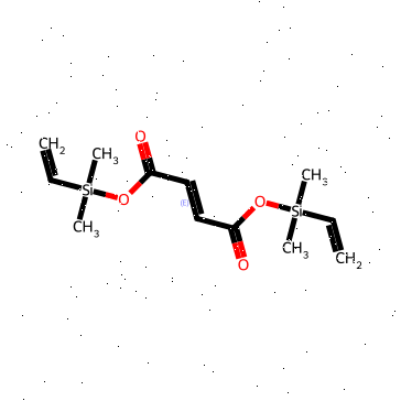 C=C[Si](C)(C)OC(=O)/C=C/C(=O)O[Si](C)(C)C=C